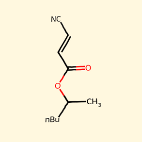 CCCCC(C)OC(=O)C=CC#N